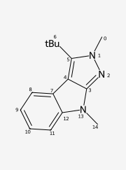 Cn1nc2c(c1C(C)(C)C)c1ccccc1n2C